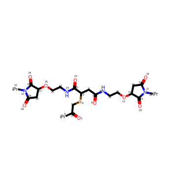 CC(C)C(=O)CSC(CC(=O)NCCOC1CC(=O)N(C(C)C)C1=O)C(=O)NCCOC1CC(=O)N(C(C)C)C1=O